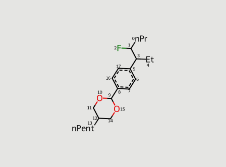 C[CH]CC(F)C(CC)c1ccc(C2OCC(CCCCC)CO2)cc1